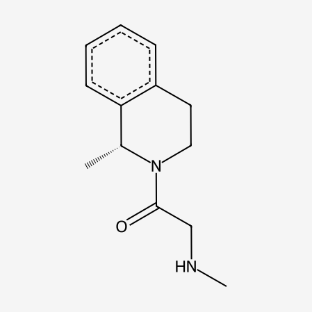 CNCC(=O)N1CCc2ccccc2[C@H]1C